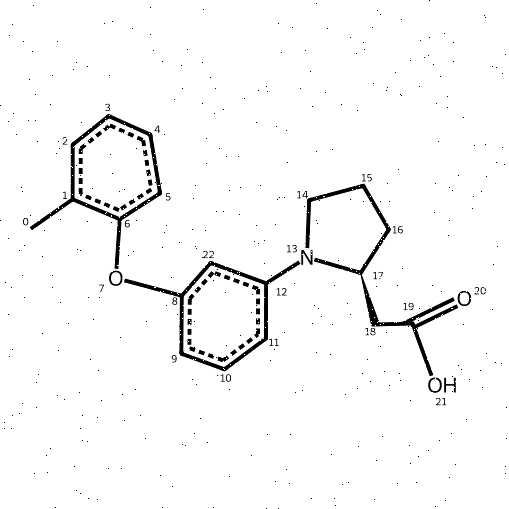 Cc1ccccc1Oc1cccc(N2CCC[C@H]2CC(=O)O)c1